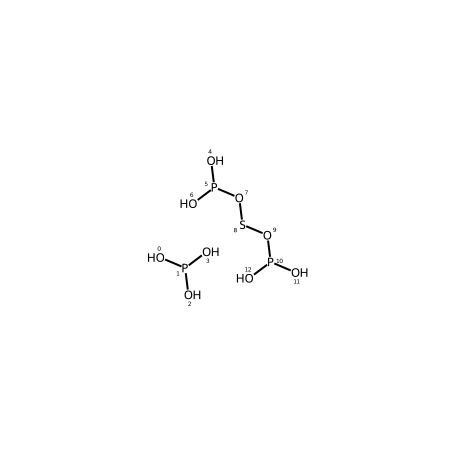 OP(O)O.OP(O)OSOP(O)O